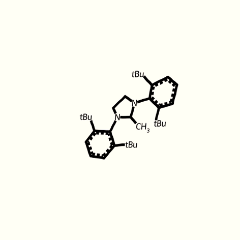 CC1N(c2c(C(C)(C)C)cccc2C(C)(C)C)CCN1c1c(C(C)(C)C)cccc1C(C)(C)C